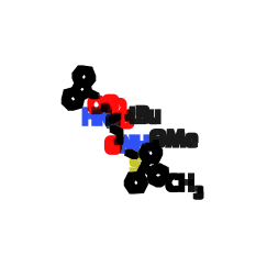 COc1ccc(C(SCCNC(=O)CC[C@H](NC(=O)OCC2c3ccccc3-c3ccccc32)C(=O)OC(C)(C)C)(c2ccccc2)c2ccc(C)cc2)cc1